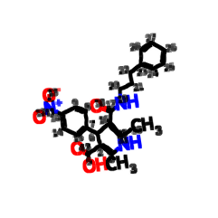 CC1=C(C(=O)O)C(c2ccc([N+](=O)[O-])cc2)C(C(=O)NCCCc2ccccc2)=C(C)N1